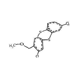 COCc1cc2c(cc1Cl)Sc1cc(Cl)ccc1S2